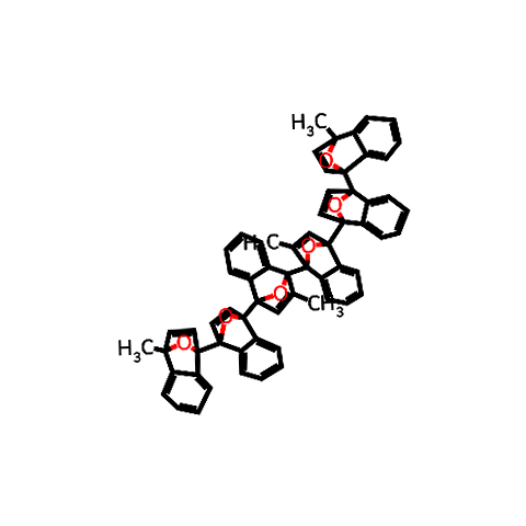 CC1=CC2(C34C=CC(C56C=CC(C)(O5)c5ccccc56)(O3)c3ccccc34)OC1(C13OC(C45C=CC(C67C=CC(C)(O6)c6ccccc67)(O4)c4ccccc45)(C=C1C)c1ccccc13)c1ccccc12